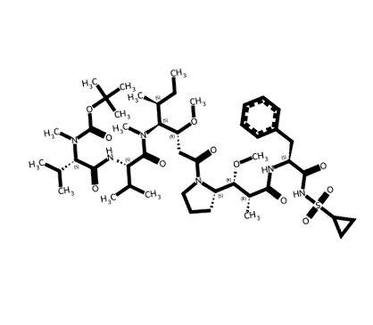 CC[C@H](C)[C@@H]([C@@H](CC(=O)N1CCC[C@H]1[C@H](OC)[C@@H](C)C(=O)N[C@@H](Cc1ccccc1)C(=O)NS(=O)(=O)C1CC1)OC)N(C)C(=O)[C@@H](NC(=O)[C@H](C(C)C)N(C)C(=O)OC(C)(C)C)C(C)C